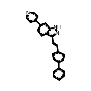 C(=C\c1n[nH]c2cc(-c3ccncc3)ccc12)/c1ccc(-c2ccccc2)cc1